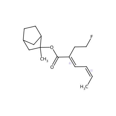 C/C=C\C=C(/CCF)C(=O)OC1(C)CC2CCC1C2